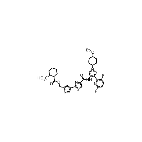 CCO[C@H]1CC[C@H](n2cc(NC(=O)c3csc(-c4cnn(COC(=O)[C@@H]5CCCC[C@@H]5C(=O)O)c4)n3)c(-c3nc(F)ccc3F)n2)CC1